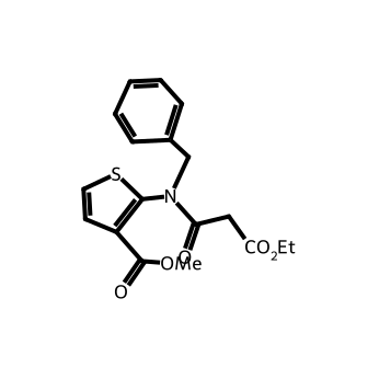 CCOC(=O)CC(=O)N(Cc1ccccc1)c1sccc1C(=O)OC